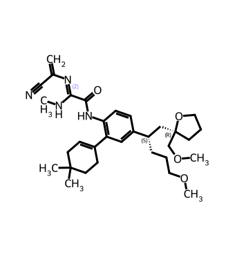 C=C(C#N)/N=C(\NC)C(=O)Nc1ccc([C@@H](CCCOC)C[C@@]2(COC)CCCO2)cc1C1=CCC(C)(C)CC1